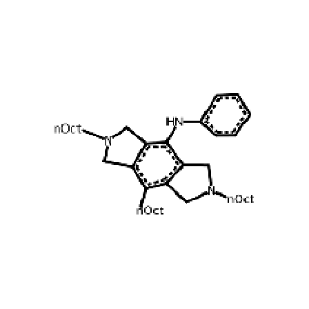 CCCCCCCCc1c2c(c(Nc3ccccc3)c3c1CN(CCCCCCCC)C3)CN(CCCCCCCC)C2